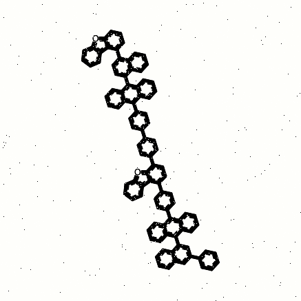 c1ccc(-c2cc(-c3c4ccccc4c(-c4ccc(-c5ccc(-c6ccc(-c7ccc(-c8c9ccccc9c(-c9ccc(-c%10cccc%11oc%12ccccc%12c%10%11)c%10ccccc9%10)c9ccccc89)cc7)cc6)c6oc7ccccc7c56)cc4)c4ccccc34)c3ccccc3c2)cc1